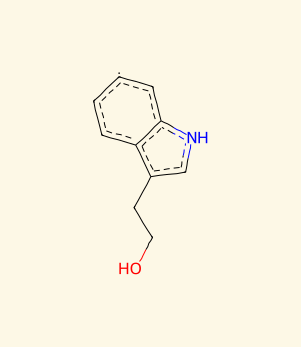 OCCc1c[nH]c2c[c]ccc12